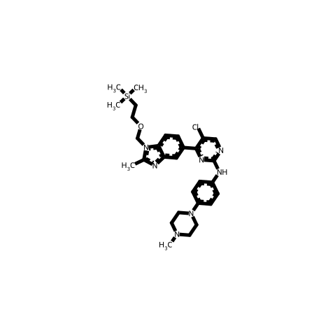 Cc1nc2cc(-c3nc(Nc4ccc(N5CCN(C)CC5)cc4)ncc3Cl)ccc2n1COCC[Si](C)(C)C